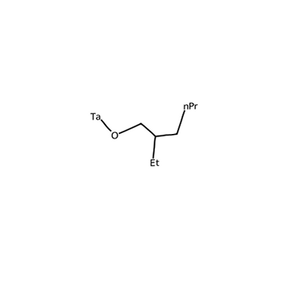 CCCCC(CC)C[O][Ta]